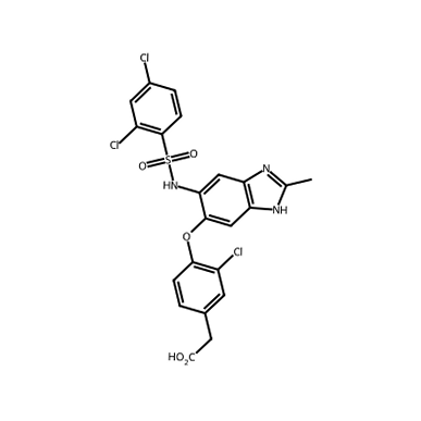 Cc1nc2cc(NS(=O)(=O)c3ccc(Cl)cc3Cl)c(Oc3ccc(CC(=O)O)cc3Cl)cc2[nH]1